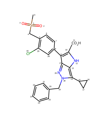 CS(=O)(=O)Cc1ccc(-c2c(C(=O)O)[nH]c3c(C4CC4)n(Cc4ccccc4)nc23)cc1Cl